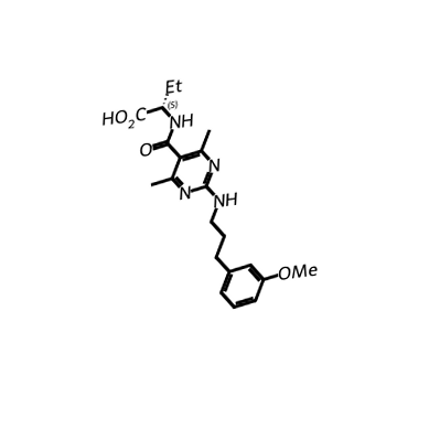 CC[C@H](NC(=O)c1c(C)nc(NCCCc2cccc(OC)c2)nc1C)C(=O)O